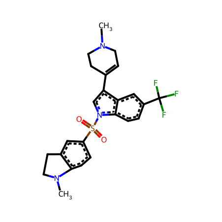 CN1CC=C(c2cn(S(=O)(=O)c3ccc4c(c3)CCN4C)c3ccc(C(F)(F)F)cc23)CC1